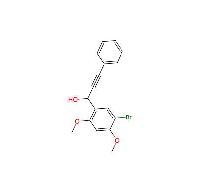 COc1cc(OC)c(C(O)C#Cc2ccccc2)cc1Br